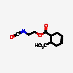 O=C=NCCOC(=O)C1CC=CCC1C(=O)O